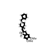 COc1cc2c(cc1OC)S(=O)(=O)C(=CC1(F)CCN(Cc3ccccc3)CC1)C2